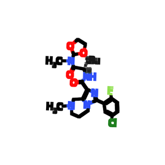 CN1CCCn2c(-c3cc(Cl)ccc3F)nc(C(=O)N[C@H](C(=O)N(C)C3OCCO3)C(C)(C)C)c2C1